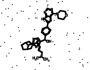 CN(C)C/C=C/C(=O)N1CC2CCC(C1)N2c1ncc(C(O)c2ccc(-c3cc4c(N5CCOCC5)ncnc4[nH]3)cc2)cn1